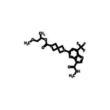 CNC(=O)c1csc2c(C(F)(F)F)cc(N3CC4(CN(C(=O)OC(C)COC)C4)C3)nc12